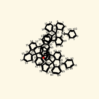 c1ccc(N2c3ccccc3C(c3ccccc3)(c3ccccc3)c3c(-c4cccc5c(-c6cccc7c6C(c6ccccc6)(c6ccccc6)c6ccccc6-7)c6cccc(-c7cccc8c7C(c7ccccc7)(c7ccccc7)c7ccccc7N8c7ccccc7)c6cc45)cccc32)cc1